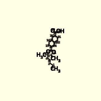 CCCCCC(C)(CC)OC(=O)c1ccc2cc(C(=O)O)ccc2c1